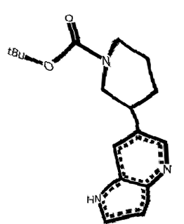 CC(C)(C)OC(=O)N1CCCC(c2cnc3cc[nH]c3c2)C1